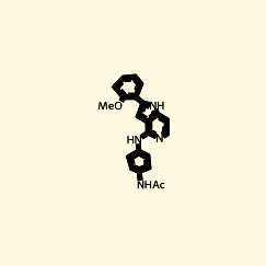 COc1ccccc1-c1cc2c(Nc3ccc(NC(C)=O)cc3)nccc2[nH]1